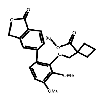 CCC(C)OC(=O)C1(COc2c(-c3ccc4c(c3)COC4=O)ccc(OC)c2OC)CCC1